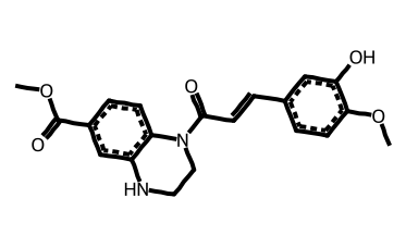 COC(=O)c1ccc2c(c1)NCCN2C(=O)C=Cc1ccc(OC)c(O)c1